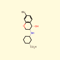 CC(C)(C)c1ccc2c(c1)OC[C@@H](N[C@H]1CCC[C@@H](C(=O)O)C1)[C@H]2O